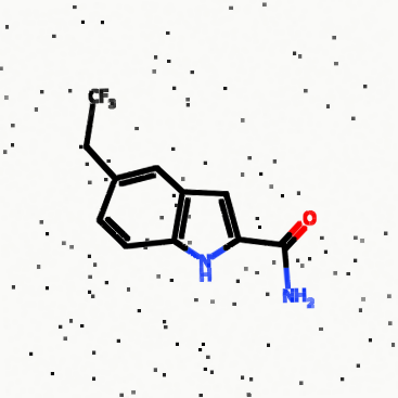 NC(=O)c1cc2cc([CH]C(F)(F)F)ccc2[nH]1